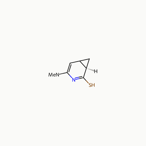 CNC1=CC2C[C@H]2C(S)=N1